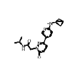 CC(C)NC(=O)Cn1nc(-c2ccc(NC34CC(C3)C4)nc2)ccc1=O